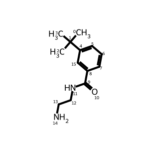 CC(C)(C)c1cccc(C(=O)NCCN)c1